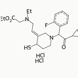 CCOC(=O)CN(CC)CC=C1CN(C(C(=O)C2CC2)c2ccccc2F)CCC1S.Cl.Cl